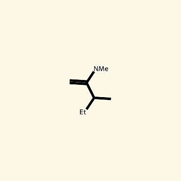 C=C(NC)C(C)CC